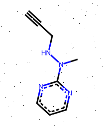 C#CCNN(C)c1ncccn1